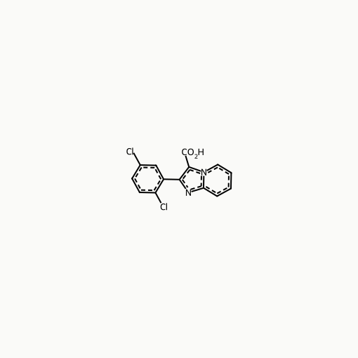 O=C(O)c1c(-c2cc(Cl)ccc2Cl)nc2ccccn12